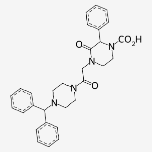 O=C(CN1CCN(C(=O)O)C(c2ccccc2)C1=O)N1CCN(C(c2ccccc2)c2ccccc2)CC1